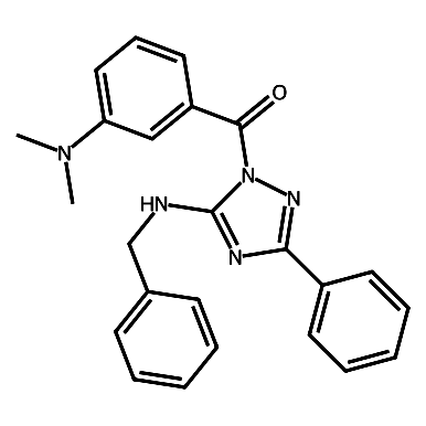 CN(C)c1cccc(C(=O)n2nc(-c3ccccc3)nc2NCc2ccccc2)c1